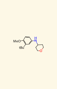 COc1ccc(NC2CCOCC2)cc1C(C)(C)C